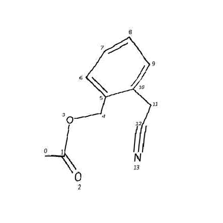 CC(=O)OCc1ccccc1CC#N